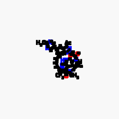 CC(=O)c1nn2c3c(cc(-c4cnc(C)nc4)cc13)CC=CCCCC(=O)N(C)C[C@@]13C[C@@H](C(=O)Nc4ccn(CC(F)(F)F)n4)N(C(=O)C2)[C@@H]1C3